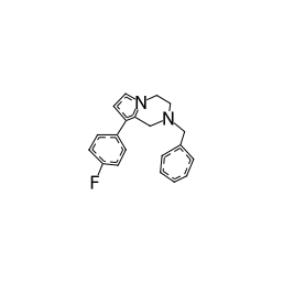 Fc1ccc(-c2ccn3c2CN(Cc2ccccc2)CC3)cc1